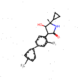 CC1(C2CC2)NC(=O)C(c2ccc(-c3ccc(C(F)(F)F)cc3)cc2C(F)(F)F)C1O